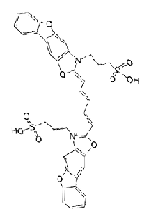 O=S(=O)(O)CCCN1C(=CC=CC=Cc2oc3cc4c(cc3[n+]2CCCS(=O)(=O)O)oc2ccccc24)Oc2cc3c(cc21)oc1ccccc13